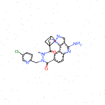 CN(C(=O)C12CC(C1)C2)N(Cc1ccc(Cl)cn1)C(=O)c1ccc2nc(N)c3cnn(C)c3c2c1